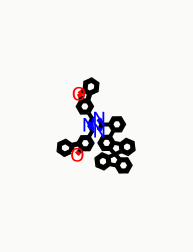 c1ccc(-c2cccc3c2-c2ccccc2C32c3ccccc3-c3ccccc32)c(-c2nc(-c3ccc4oc5ccccc5c4c3)nc(-c3ccc4oc5ccccc5c4c3)n2)c1